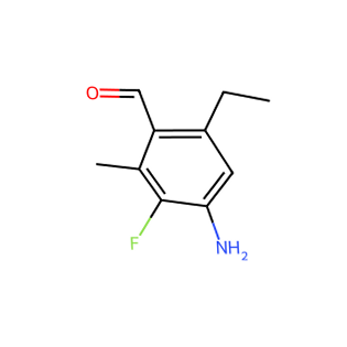 CCc1cc(N)c(F)c(C)c1C=O